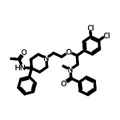 CC(=O)NC1(c2ccccc2)CCN(CCOC(CN(C)C(=O)c2ccccc2)c2ccc(Cl)c(Cl)c2)CC1